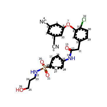 N#Cc1cc(C#N)cc(Oc2cc(CC(=O)Nc3ccc(S(=O)(=O)NCCCO)cc3)ccc2Cl)c1